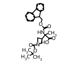 CC(C)(C)OC(=O)N1CC(C(C)(NC(=O)OCC2c3ccccc3-c3ccccc32)C(=O)O)C1